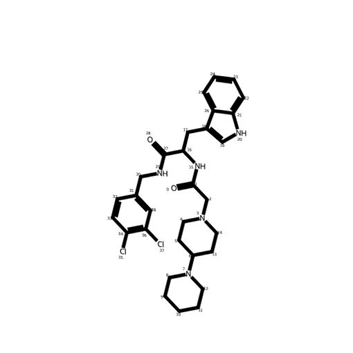 O=C(CN1CCC(N2CCCCC2)CC1)NC(Cc1c[nH]c2ccccc12)C(=O)NCc1ccc(Cl)c(Cl)c1